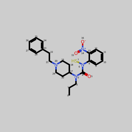 CCCN(C(=O)N(S)c1ccccc1[N+](=O)[O-])C1CCN(CCc2ccccc2)CC1